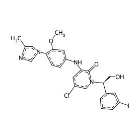 COc1cc(Nc2cc(Cl)cn([C@@H](CO)c3cccc(I)c3)c2=O)ccc1-n1cnc(C)c1